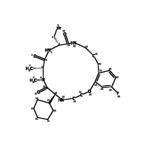 CC(C)C[C@H]1NC(=O)[C@@H](C)N(C)C(=O)[C@H](C2CCCCC2)NCCOc2cc(F)ccc2CCCNC1=O